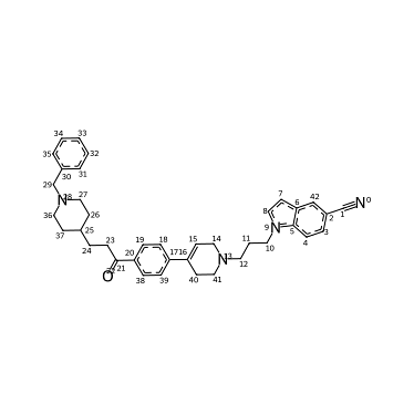 N#Cc1ccc2c(ccn2CCCN2CC=C(c3ccc(C(=O)CCC4CCN(Cc5ccccc5)CC4)cc3)CC2)c1